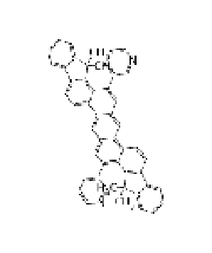 CC1(C)c2ccccc2-c2ccc3c(c(-c4cccnc4)cc4cc5c(cc(-c6cccnc6)c6c7c(ccc65)-c5ccccc5C7(C)C)cc43)c21